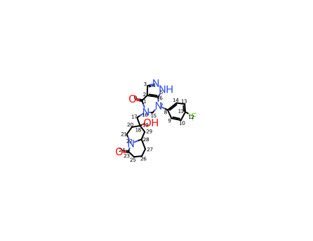 O=C1c2cn[nH]c2N(c2ccc(F)cc2)CN1CC1(O)CCN2C(=O)CCCC2C1